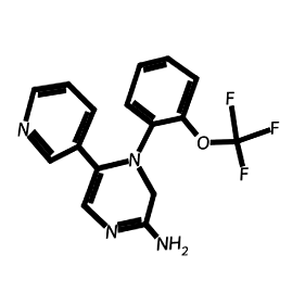 NC1=NC=C(c2cccnc2)N(c2ccccc2OC(F)(F)F)C1